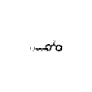 NCCOc1ccc(C(=O)c2ccccc2)cc1